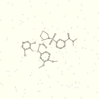 COc1ccc([C@H](Cc2c(Cl)cncc2Cl)OC(=O)[C@@H]2CCCN2S(=O)(=O)c2cccc(C(=O)N(C)C)c2)cc1OC